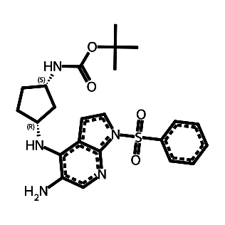 CC(C)(C)OC(=O)N[C@H]1CC[C@@H](Nc2c(N)cnc3c2ccn3S(=O)(=O)c2ccccc2)C1